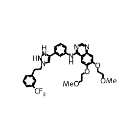 COCCOc1cc2ncnc(Nc3cccc(C4=CN(CCc5cccc(C(F)(F)F)c5)NN4)c3)c2cc1OCCOC